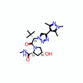 CNC(=O)[C@@H]1C[C@@H](O)CN1C(=O)[C@@H](n1cc(-c2c(C)nn(C)c2C)nn1)C(C)(C)C